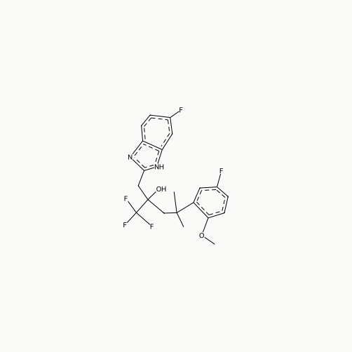 COc1ccc(F)cc1C(C)(C)CC(O)(Cc1nc2ccc(F)cc2[nH]1)C(F)(F)F